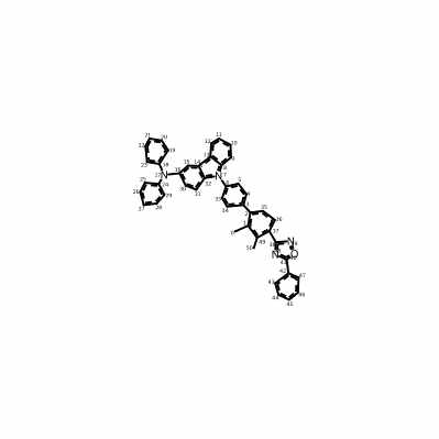 Cc1c(-c2ccc(-n3c4ccccc4c4cc(N(c5ccccc5)c5ccccc5)ccc43)cc2)ccc(-c2noc(-c3ccccc3)n2)c1C